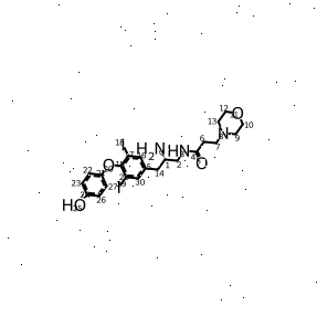 N[C@H](CNC(=O)CCN1CCOCC1)Cc1cc(I)c(Oc2ccc(O)cc2)c(I)c1